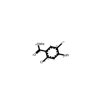 CCCc1cc(Cl)c(C(=O)OC)cc1I